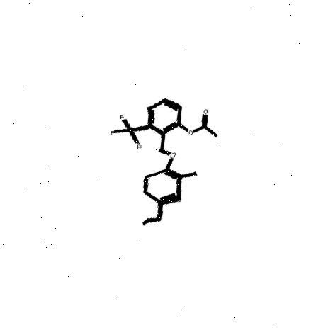 CCc1ccc(OCc2c(OC(C)=O)cccc2C(F)(F)F)c(C)c1